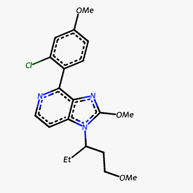 CCC(CCOC)n1c(OC)nc2c(-c3ccc(OC)cc3Cl)nccc21